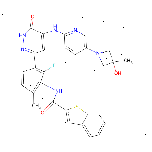 Cc1ccc(-c2cc(Nc3ccc(N4CC(C)(O)C4)cn3)c(=O)[nH]n2)c(F)c1NC(=O)c1cc2ccccc2s1